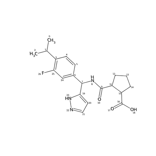 CC(C)c1ccc(C(NC(=O)C2CCCC2C(=O)O)c2ccn[nH]2)cc1F